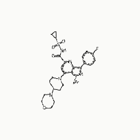 CC(C)c1nn(-c2ccc(F)cc2)c2nc(C(=O)NS(=O)(=O)C3CC3)cc(N3CCC(N4CCOCC4)CC3)c12